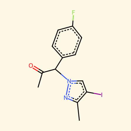 CC(=O)C(c1ccc(F)cc1)n1cc(I)c(C)n1